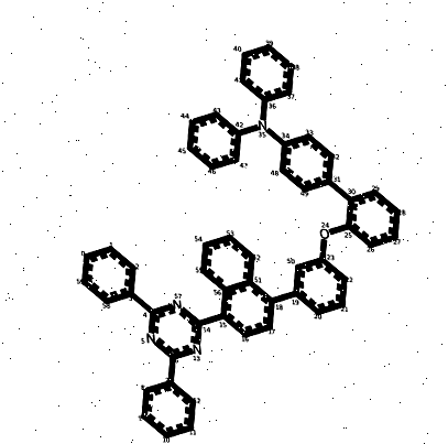 c1ccc(-c2nc(-c3ccccc3)nc(-c3ccc(-c4cccc(Oc5ccccc5-c5ccc(N(c6ccccc6)c6ccccc6)cc5)c4)c4ccccc34)n2)cc1